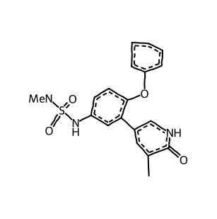 CNS(=O)(=O)Nc1ccc(Oc2ccccc2)c(-c2c[nH]c(=O)c(C)c2)c1